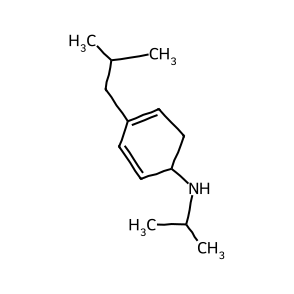 CC(C)CC1=CCC(NC(C)C)C=C1